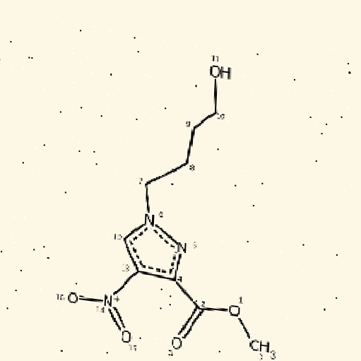 COC(=O)c1nn(CCCCO)cc1[N+](=O)[O-]